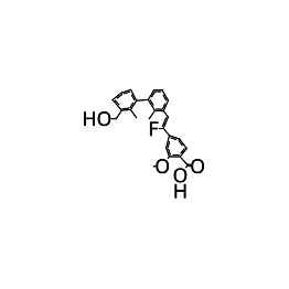 COc1cc(C(F)=Cc2cccc(-c3cccc(CO)c3C)c2C)ccc1C(=O)O